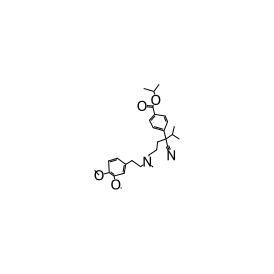 COc1ccc(CCN(C)CCCC(C#N)(c2ccc(C(=O)OC(C)C)cc2)C(C)C)cc1OC